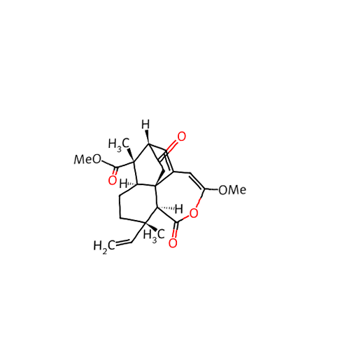 C=C[C@]1(C)CC[C@H]2[C@](C)(C(=O)OC)[C@@H]3C=C4C=C(OC)OC(=O)[C@@H]1[C@@]42CC3=O